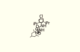 CC1CC(C)N(S(=O)(=O)NC(=O)Nc2c(C(C)C)cc(Cl)cc2C(C)C)C(C)C1